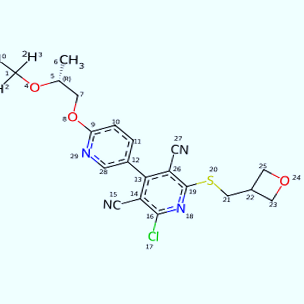 [2H]C([2H])([2H])O[C@H](C)COc1ccc(-c2c(C#N)c(Cl)nc(SCC3COC3)c2C#N)cn1